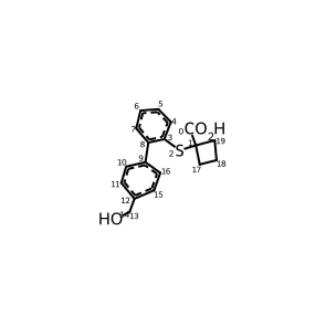 O=C(O)C1(Sc2ccccc2-c2ccc(CO)cc2)CCC1